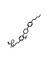 C=CC(=O)N(C)CCCc1ccc(C2CCC(c3ccc(CCCCC)cc3)CC2)c(F)c1